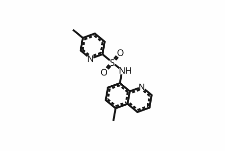 Cc1ccc(S(=O)(=O)Nc2ccc(C)c3cccnc23)nc1